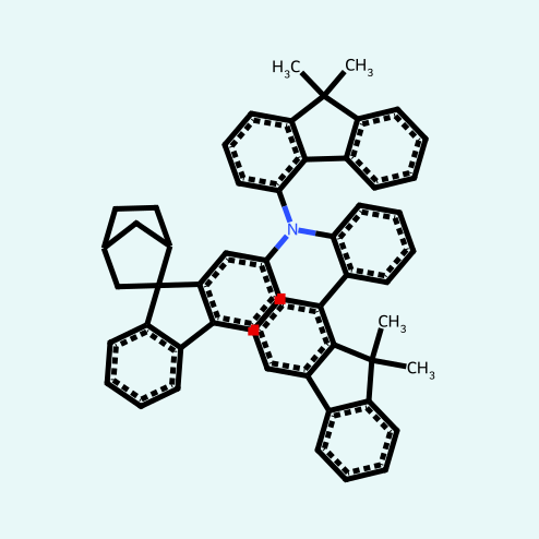 CC1(C)c2ccccc2-c2c(N(c3ccc4c(c3)C3(CC5CCC3C5)c3ccccc3-4)c3ccccc3-c3cccc4c3C(C)(C)c3ccccc3-4)cccc21